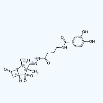 C[C@]1(/C=N/NC(=O)CCCNC(=O)c2ccc(O)c(O)c2)[C@H](C(=O)O)N2C(=O)C[C@H]2S1(=O)=O